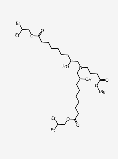 CCC(CC)COC(=O)CCCCCCC(O)CN(CCCC(=O)OC(C)(C)C)CC(O)CCCCCCC(=O)OCC(CC)CC